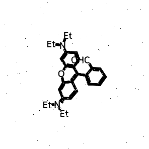 CCN(CC)c1ccc2c(-c3ccccc3C=O)c3ccc(=[N+](CC)CC)cc-3oc2c1